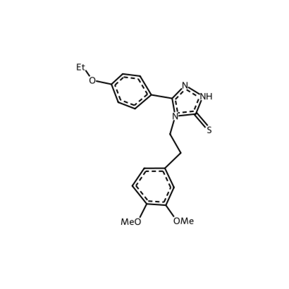 CCOc1ccc(-c2n[nH]c(=S)n2CCc2ccc(OC)c(OC)c2)cc1